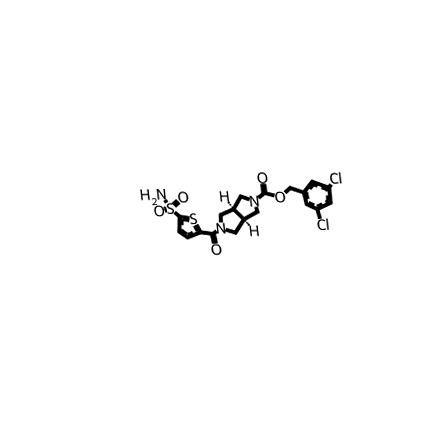 NS(=O)(=O)c1ccc(C(=O)N2C[C@H]3CN(C(=O)OCc4cc(Cl)cc(Cl)c4)C[C@H]3C2)s1